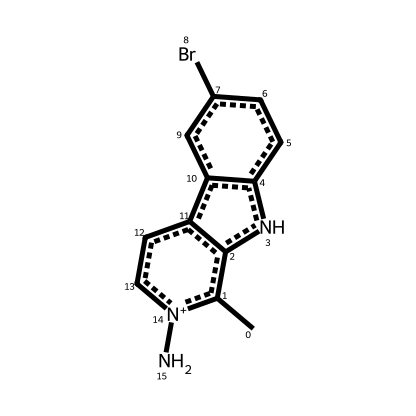 Cc1c2[nH]c3ccc(Br)cc3c2cc[n+]1N